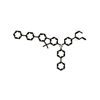 C=C/C=C(\C=C/C)c1ccc(N(c2ccc(-c3ccccc3)cc2)c2ccc3c(c2)C(C)(C)c2cc(-c4ccc(-c5ccccc5)cc4)ccc2-3)cc1